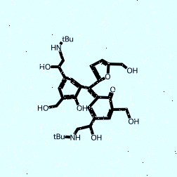 CC(C)(C)NCC(O)C1=C/C(=C(/c2ccc(CO)o2)c2cc(C(O)CNC(C)(C)C)cc(CO)c2O)C(=O)C(CO)=C1